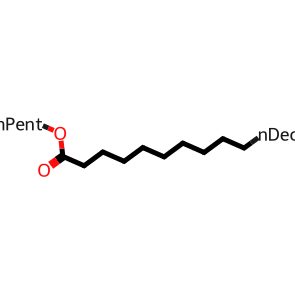 CCCCCCCCCCCCCCCCCCCC(=O)OCCCCC